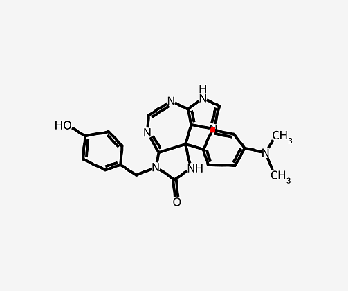 CN(C)c1ccc(C23NC(=O)N(Cc4ccc(O)cc4)C2=NC=Nc2[nH]cnc23)cc1